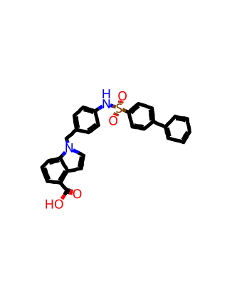 O=C(O)c1cccc2c1ccn2Cc1ccc(NS(=O)(=O)c2ccc(-c3ccccc3)cc2)cc1